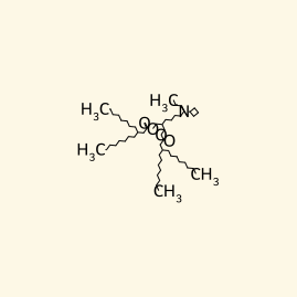 CCCCCCCCC(CCCCCCCC)CC(=O)OCC(CCCCN(CCC)C1CCC1)COC(=O)CC(CCCCCCCC)CCCCCCCC